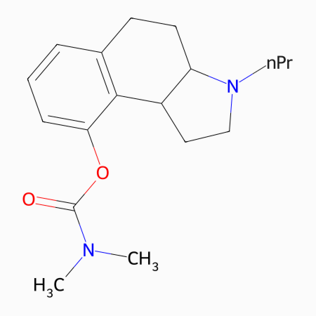 CCCN1CCC2c3c(cccc3OC(=O)N(C)C)CCC21